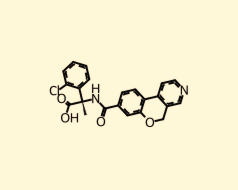 C[C@@](NC(=O)c1ccc2c(c1)OCc1cnccc1-2)(C(=O)O)c1ccccc1Cl